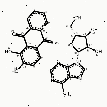 Nc1ncnc2c1ncn2[C@@H]1O[C@H](CO)[C@@H](O)[C@H]1O.O=C1c2ccccc2C(=O)c2c1ccc(O)c2O